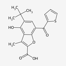 Cc1c(C(=O)O)oc2c(C(=O)c3cccs3)cc(C(C)(C)C)c(O)c12